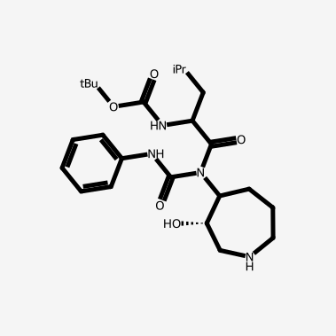 CC(C)CC(NC(=O)OC(C)(C)C)C(=O)N(C(=O)Nc1ccccc1)C1CCCNC[C@@H]1O